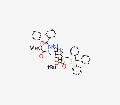 COC(=O)[C@H](CC(C)(C)C[C@@H](CSC(c1ccccc1)(c1ccccc1)c1ccccc1)C(=O)OC(C)(C)C)N(N)C(=O)c1ccccc1-c1ccccc1